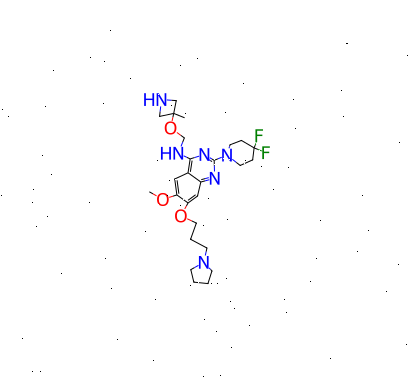 COc1cc2c(NCOC3(C)CNC3)nc(N3CCC(F)(F)CC3)nc2cc1OCCCN1CCCC1